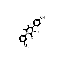 CCN1C(=O)N(c2cccc(C(F)(F)F)c2)C(C)=C(C(=O)O)[C@H]1c1ccc(C#N)cc1